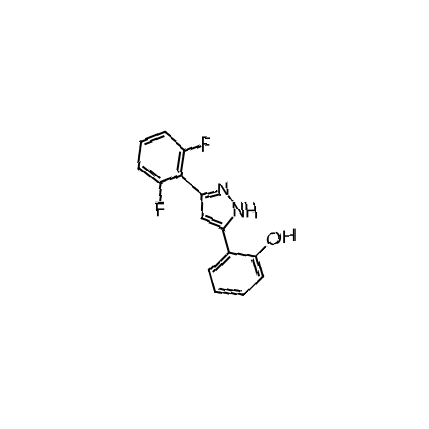 Oc1ccccc1-c1cc(-c2c(F)cccc2F)n[nH]1